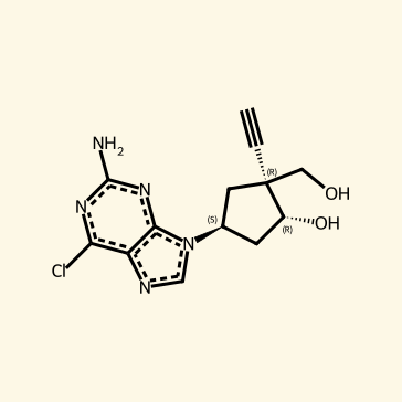 C#C[C@@]1(CO)C[C@H](n2cnc3c(Cl)nc(N)nc32)C[C@H]1O